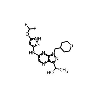 C[C@@H](O)c1nn(CC2CCOCC2)c2nc(Nc3cc(OC(F)F)[nH]n3)cnc12